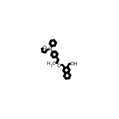 CC(=Cc1ccc(N(c2ccccc2)c2ccco2)cc1)OCc1cc2ccccc2cc1CO